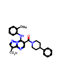 COc1ccccc1Nc1c(C(=O)N2CCC(c3ccccc3)CC2)cnc2c(C(=O)O)cnn12